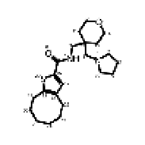 O=C(NCC1(CN2CCCC2)CCOCC1)c1cc2c(s1)CCCCCC2